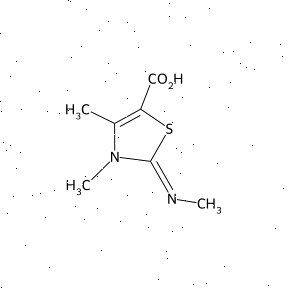 C/N=c1\sc(C(=O)O)c(C)n1C